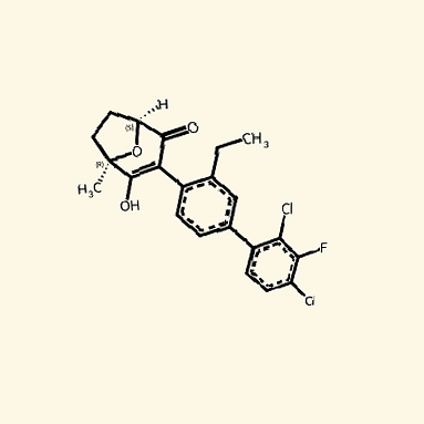 CCc1cc(-c2ccc(Cl)c(F)c2Cl)ccc1C1=C(O)[C@@]2(C)CC[C@H](O2)C1=O